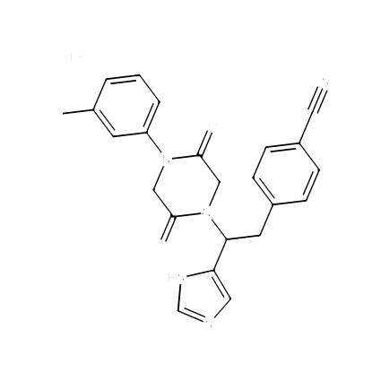 Cl.N#Cc1ccc(CC(c2cnc[nH]2)N2CC(=O)N(c3cccc(Cl)c3)CC2=O)cc1